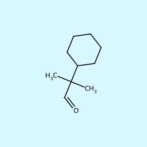 CC(C)([C]=O)C1CCCCC1